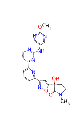 COc1ncc(Nc2nccc(-c3cccc(-c4cc(C5(O)CCN(C)C5=O)on4)n3)n2)cn1